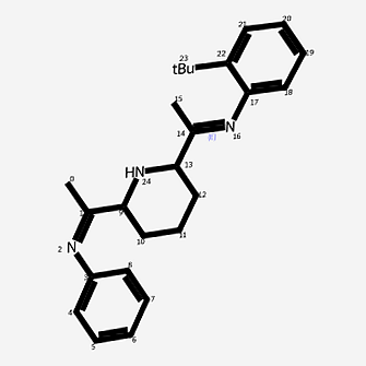 CC(=Nc1ccccc1)C1CCCC(/C(C)=N/c2ccccc2C(C)(C)C)N1